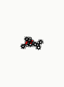 C1=CC(N2c3ccccc3C3C=C(c4ccc5c(c4)C4(C6=C(C=CCC6)Oc6ccccc64)c4cccc(-c6ccccc6)c4O5)C=CC32)=CCC1